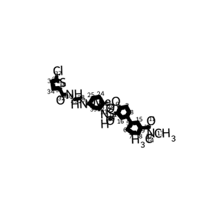 COc1ccc(-c2cccc(C(=O)N(C)C)c2)cc1S(=O)(=O)Nc1cccc(NCCNC(=O)c2ccc(Cl)s2)c1